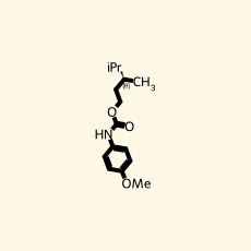 COc1ccc(NC(=O)OCC[C@@H](C)C(C)C)cc1